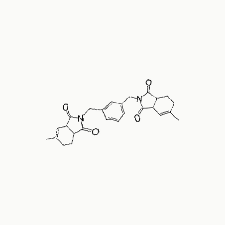 CC1=CC2C(=O)N(Cc3cccc(CN4C(=O)C5C=C(C)CCC5C4=O)c3)C(=O)C2CC1